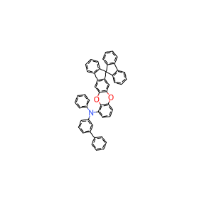 c1ccc(-c2cccc(N(c3ccccc3)c3cccc4c3Oc3cc5c(cc3O4)C3(c4ccccc4-c4ccccc43)c3ccccc3-5)c2)cc1